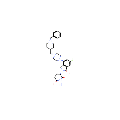 O=C1CCC(N2Cc3c(cc(F)cc3N3CCN(CC4CCN(Cc5ccccc5)CC4)CC3)C2=O)C(=O)N1